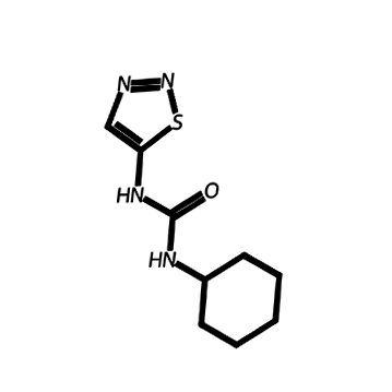 O=C(Nc1cnns1)NC1CCCCC1